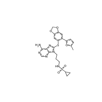 Cc1ccc(-c2cc3c(cc2Sc2nc4c(N)ncnc4n2CCCNS(=O)(=O)C2CC2)OCO3)o1